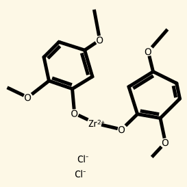 COc1ccc(OC)c([O][Zr+2][O]c2cc(OC)ccc2OC)c1.[Cl-].[Cl-]